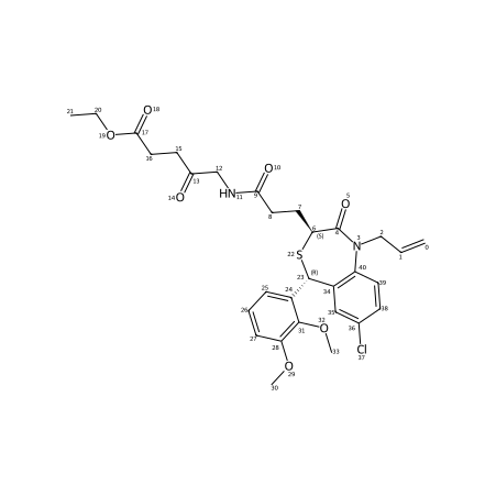 C=CCN1C(=O)[C@H](CCC(=O)NCC(=O)CCC(=O)OCC)S[C@@H](c2cccc(OC)c2OC)c2cc(Cl)ccc21